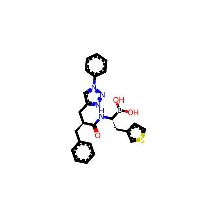 O=C(N[C@@H](Cc1ccsc1)B(O)O)[C@@H](Cc1ccccc1)Cc1cn(-c2ccccc2)nn1